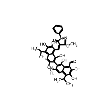 COC1=NN(c2ccccc2)C(=O)/C1=C\c1c(O)c(O)c(C(C)C)c2cc(C)c(-c3c(C)cc4c(C(C)C)c(O)c(O)c(C=O)c4c3O)c(O)c12